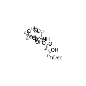 CCCCCCCCCCCC(O)CC(=O)ON[C@H]1CO[C@@H]2COC(C)(C)O[C@H]2[C@@H]1O